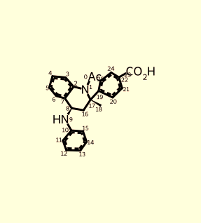 CC(=O)N1c2ccccc2[C@H](Nc2ccccc2)C[C@@]1(C)c1ccc(C(=O)O)cc1